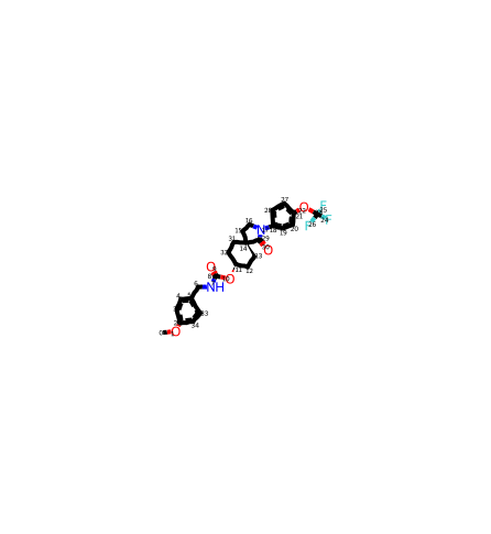 COc1ccc(CNC(=O)O[C@H]2CC[C@]3(CCN(c4ccc(OC(F)(F)F)cc4)C3=O)CC2)cc1